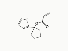 C=CC(=O)OC1(c2ccco2)CCCC1